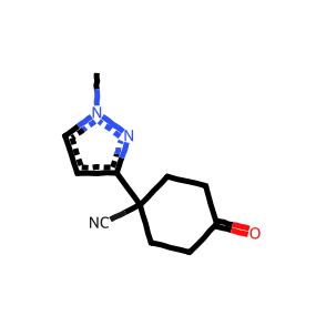 Cn1ccc(C2(C#N)CCC(=O)CC2)n1